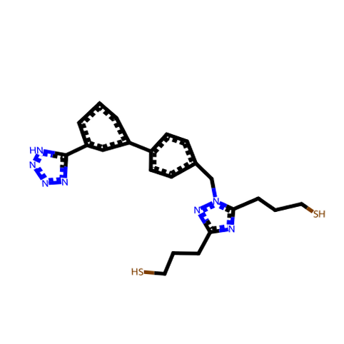 SCCCc1nc(CCCS)n(Cc2ccc(-c3cccc(-c4nnn[nH]4)c3)cc2)n1